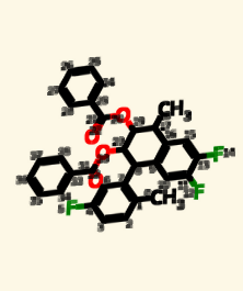 Cc1ccc(F)cc1C1c2cc(F)c(F)cc2C(C)C(OC(=O)c2ccccc2)C1OC(=O)c1ccccc1